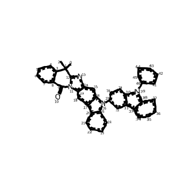 CC1(C)c2ccccc2C(=O)n2c1nc1cc3c(cc12)c1ccccc1n3-c1ccc2c(c1)c1ccccc1n2-c1ccccc1